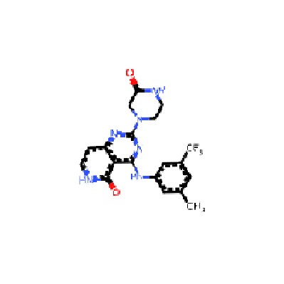 Cc1cc(Nc2nc(N3CCNC(=O)C3)nc3cc[nH]c(=O)c23)cc(C(F)(F)F)c1